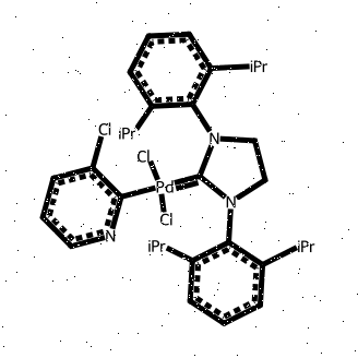 CC(C)c1cccc(C(C)C)c1N1CCN(c2c(C(C)C)cccc2C(C)C)[C]1=[Pd]([Cl])([Cl])[c]1ncccc1Cl